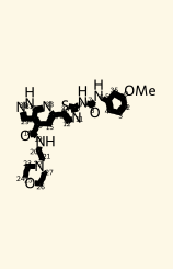 COc1cccc(NC(=O)Nc2ncc(-c3cc(C(=O)NCCN4CCOCC4)c4cn[nH]c4n3)s2)c1